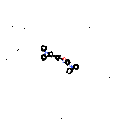 c1ccc(-n2c3ccccc3c3cc(-c4ccc(-c5nc6cc(-n7c8ccccc8c8ccccc87)ccc6o5)cc4)ccc32)cc1